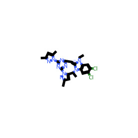 CCN1/C2=C/c3nc(-n4nc(C)cc4C)nc(n3)-n3nc(C)cc3C(C)N2c2cc(Cl)c(Cl)cc21